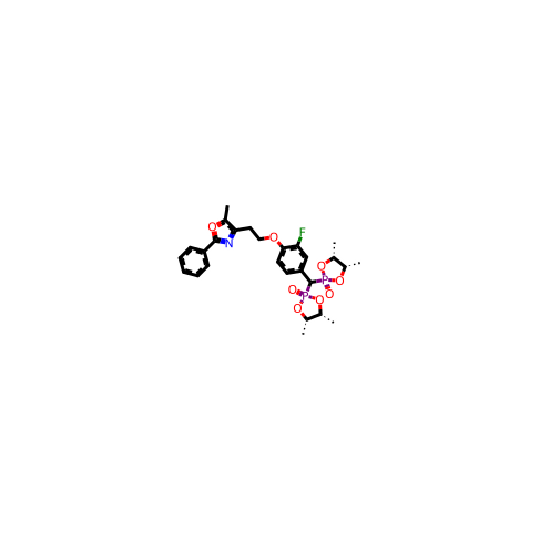 Cc1oc(-c2ccccc2)nc1CCOc1ccc(C(P2(=O)O[C@@H](C)[C@@H](C)O2)P2(=O)O[C@@H](C)[C@@H](C)O2)cc1F